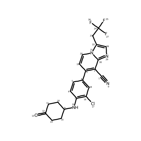 N#Cc1c(-c2ccc(NC3CCC(=O)CC3)c(Cl)c2)ccn2c(CC(F)(F)F)cnc12